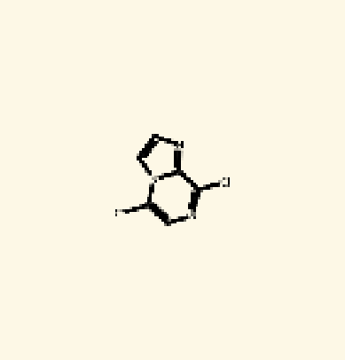 Clc1ncc(Cl)n2ccnc12